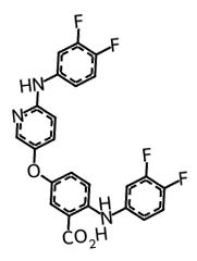 O=C(O)c1cc(Oc2ccc(Nc3ccc(F)c(F)c3)nc2)ccc1Nc1ccc(F)c(F)c1